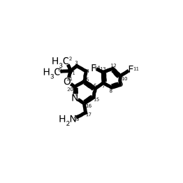 CC1(C)CCc2c(-c3ccc(F)cc3F)cc(CN)nc2O1